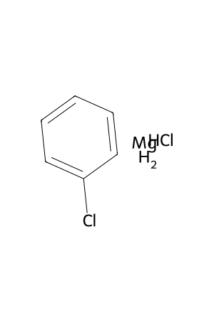 Cl.Clc1ccccc1.[MgH2]